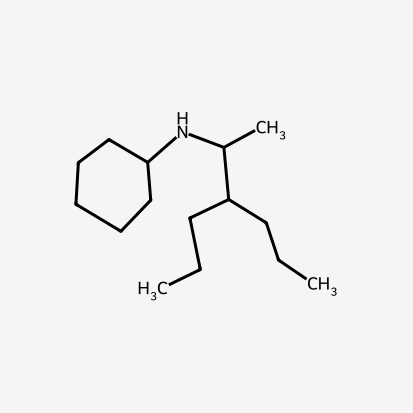 CCCC(CCC)C(C)NC1CCCCC1